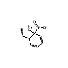 CC1([N+](=O)[O-])C=CC=CC1CBr